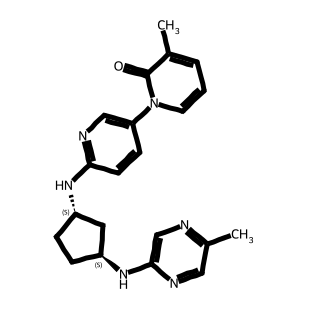 Cc1cnc(N[C@H]2CC[C@H](Nc3ccc(-n4cccc(C)c4=O)cn3)C2)cn1